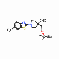 CC(C)(C)[Si](C)(C)OCCC1(C=O)CCN(c2nc3ccc(C(F)(F)F)cc3s2)CC1